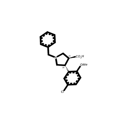 COc1ccc(Cl)cc1[C@@H]1CN(Cc2ccccc2)C[C@H]1C(=O)O